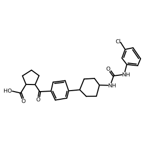 O=C(Nc1cccc(Cl)c1)NC1CCC(c2ccc(C(=O)C3CCCC3C(=O)O)cc2)CC1